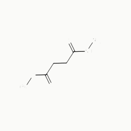 CC(C)(C)OC(=O)CCC(=S)NN